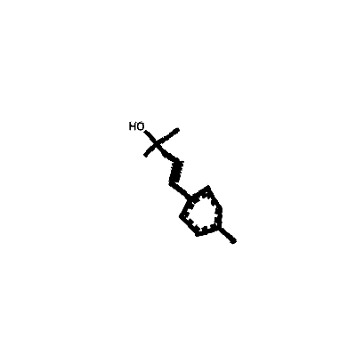 Cc1ccc(/C=C/C(C)(C)O)cc1